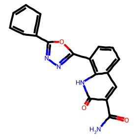 NC(=O)c1cc2cccc(-c3nnc(-c4ccccc4)o3)c2[nH]c1=O